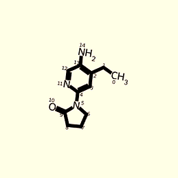 CCc1cc(N2CCCC2=O)ncc1N